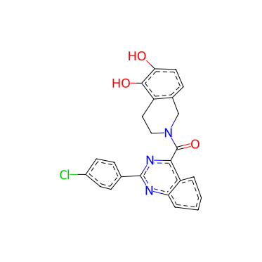 O=C(c1nc(-c2ccc(Cl)cc2)nc2ccccc12)N1CCc2c(ccc(O)c2O)C1